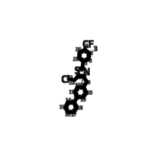 FC(F)(F)c1ccc(-c2nc(Cc3ccc(-c4ccccc4)cc3)c(CCl)s2)cc1